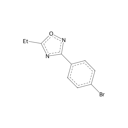 CCc1nc(-c2ccc(Br)cc2)no1